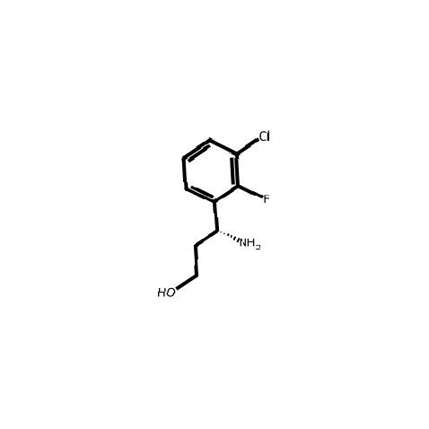 N[C@H](CCO)c1cccc(Cl)c1F